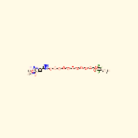 CCCN(OCC)C(=O)C1=Cc2ccc(/C(C=N)=C/NCCOCCOCCOCCOCCOCCOCCOCCOCCOCCOCCC(=O)Oc3c(F)c(F)c(S(=O)(=O)O)c(F)c3F)cc2N=C(N)C1